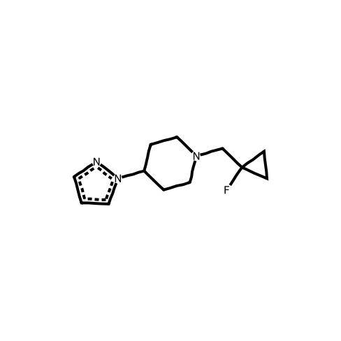 FC1(CN2CCC(n3cccn3)CC2)CC1